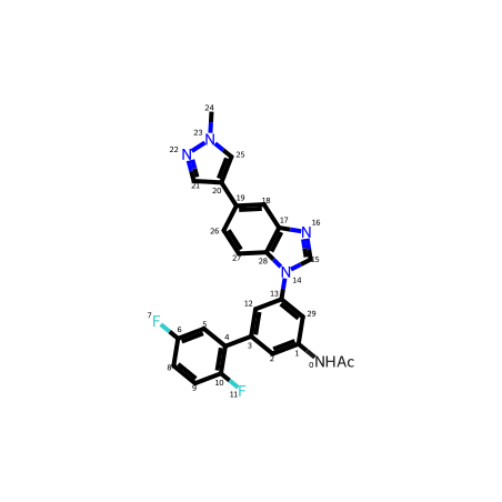 CC(=O)Nc1cc(-c2cc(F)ccc2F)cc(-n2cnc3cc(-c4cnn(C)c4)ccc32)c1